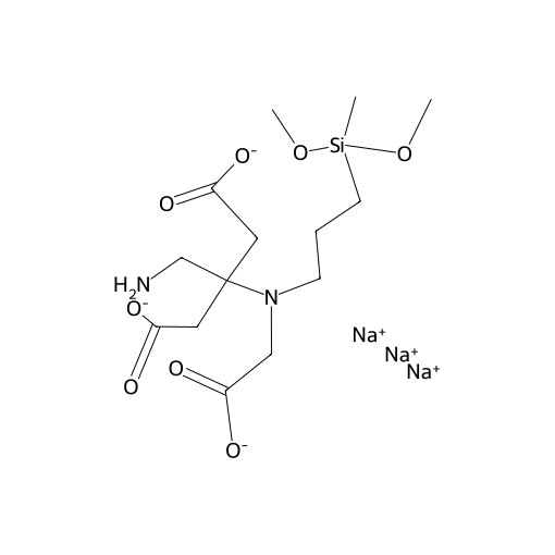 CO[Si](C)(CCCN(CC(=O)[O-])C(CN)(CC(=O)[O-])CC(=O)[O-])OC.[Na+].[Na+].[Na+]